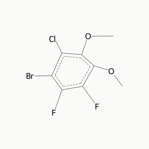 COc1c(F)c(F)c(Br)c(Cl)c1OC